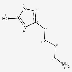 NCCSCc1csc(O)n1